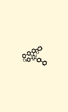 N#Cc1cccc(-c2ccc(-c3ccc4c(oc5ccccc54)c3-c3nc(-c4ccccc4)nc(-c4ccc(-c5ccccc5)cc4)n3)cc2)c1